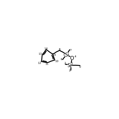 C[Si](C)(C)O[Si](C)(C)Cc1ccccc1